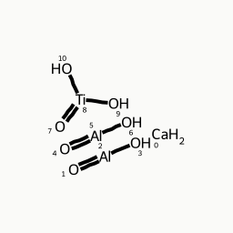 [CaH2].[O]=[Al][OH].[O]=[Al][OH].[O]=[Ti]([OH])[OH]